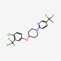 FC(F)(F)c1ccc(N2CCC(Oc3ccc(Cl)c(C(F)(F)F)c3)CC2)nc1